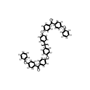 CC(C)(c1ccc(Oc2ccc(C(=O)c3ccc(Oc4ccccc4)cc3)cc2)cc1)c1ccc(Oc2ccc(C(=O)c3ccc(Oc4ccccc4)cc3)cc2)cc1